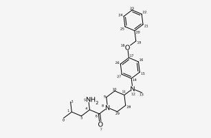 CC(C)CC(N)C(=O)N1CCC(N(C)c2ccc(OCc3ccccc3)cc2)CC1